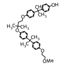 COCCOc1ccc(C(C)(C)c2ccc(OC(C)(C)CCOc3ccc(C(C)(C)c4ccc(O)cc4)cc3)cc2)cc1